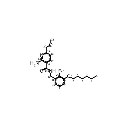 CCCCCCOc1cccc(CNC(=O)c2ccc(COC)nc2N)c1F